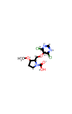 COC1CCN(C(=O)O)C1COc1c(Cl)ncnc1Cl